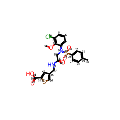 COc1c(Cl)cccc1N(CC(=O)NCc1csc(C(=O)O)c1)S(=O)(=O)c1ccc(C)cc1